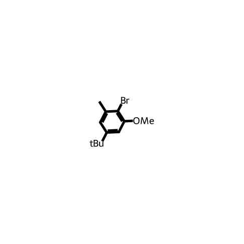 COc1cc(C(C)(C)C)cc(C)c1Br